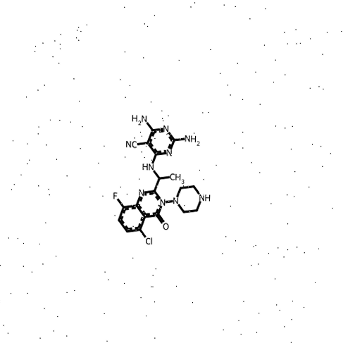 CC(Nc1nc(N)nc(N)c1C#N)c1nc2c(F)ccc(Cl)c2c(=O)n1N1CCNCC1